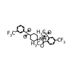 CC1(NC(=O)c2ccc(C(F)(F)F)cc2S(C)(=O)=O)CCC(S(=O)(=O)c2cccc(C(F)(F)F)c2)CC1